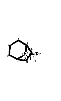 CC(C)[N+]1(C)C2CCCC1CC2